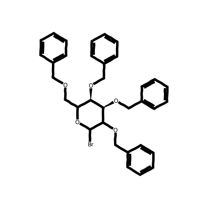 BrC1OC(COCc2ccccc2)[C@@H](OCc2ccccc2)[C@@H](OCc2ccccc2)C1OCc1ccccc1